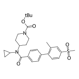 Cc1cc(S(C)(=O)=O)ccc1-c1ccc(C(=O)N(C2CC2)C2CCN(C(=O)OC(C)(C)C)CC2)cc1